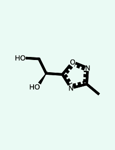 Cc1noc([C@@H](O)CO)n1